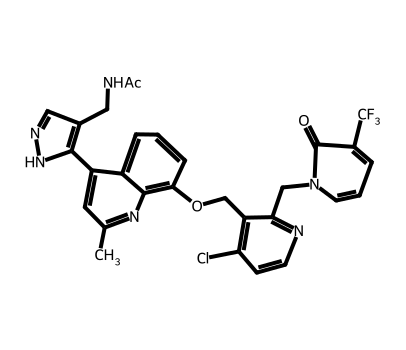 CC(=O)NCc1cn[nH]c1-c1cc(C)nc2c(OCc3c(Cl)ccnc3Cn3cccc(C(F)(F)F)c3=O)cccc12